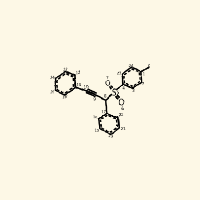 Cc1ccc(S(=O)(=O)C(C#Cc2ccccc2)c2ccccc2)cc1